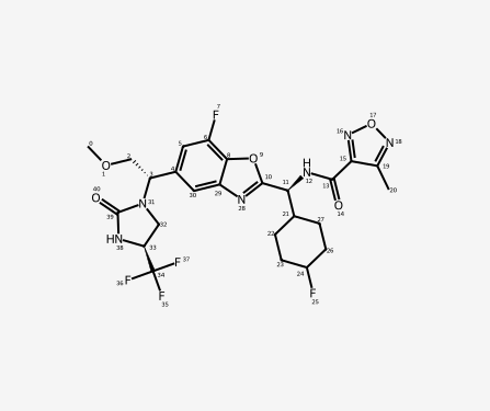 COC[C@H](c1cc(F)c2oc([C@@H](NC(=O)c3nonc3C)C3CCC(F)CC3)nc2c1)N1C[C@@H](C(F)(F)F)NC1=O